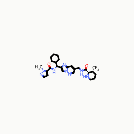 Cn1nccc1C(=O)N[C@H](c1cn2ncc(CNC(=O)[C@@H]3NCCC[C@H]3C(F)(F)F)cc2n1)C1CCCCC1